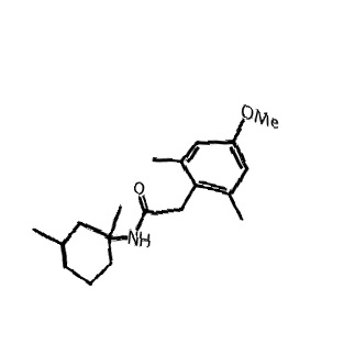 COc1cc(C)c(CC(=O)NC2(C)CCCC(C)C2)c(C)c1